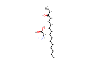 CCCCCCCCCCCCCC(=O)[CH2][Na].NCC(=O)O